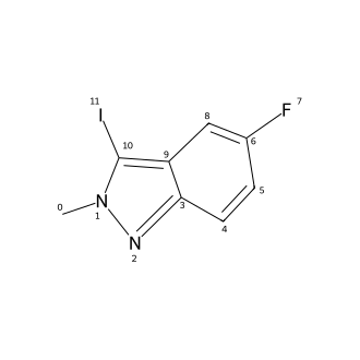 Cn1nc2ccc(F)cc2c1I